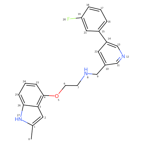 Cc1cc2c(OCCNCc3cncc(-c4cccc(F)c4)c3)cccc2[nH]1